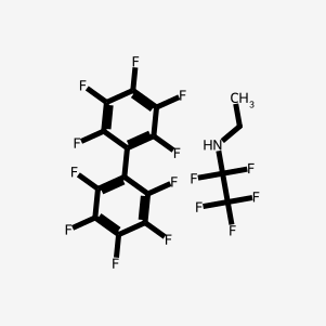 CCNC(F)(F)C(F)(F)F.Fc1c(F)c(F)c(-c2c(F)c(F)c(F)c(F)c2F)c(F)c1F